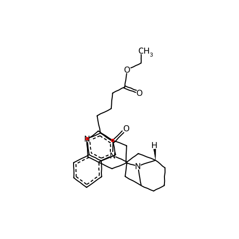 CCOC(=O)CCCc1nc2ccccc2n(C2CC3CCC[C@@H](C2)N3C2CC3CCCC(C3)C2)c1=O